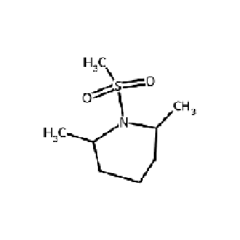 CC1CCCC(C)N1S(C)(=O)=O